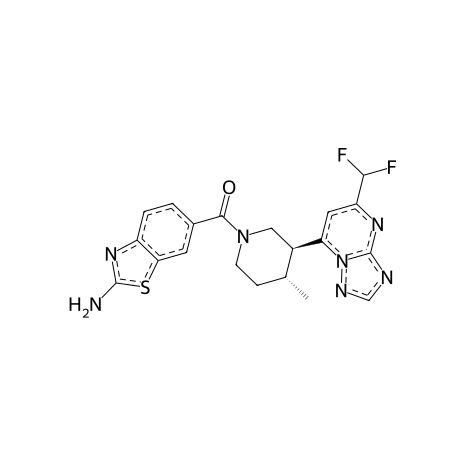 C[C@@H]1CCN(C(=O)c2ccc3nc(N)sc3c2)C[C@H]1c1cc(C(F)F)nc2ncnn12